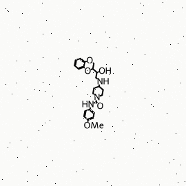 COc1ccc(NC(=O)N2CCC(NCC(O)C3COc4ccccc4O3)CC2)cc1